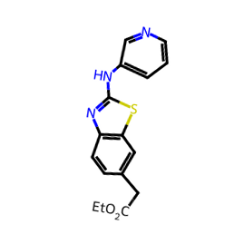 CCOC(=O)Cc1ccc2nc(Nc3cccnc3)sc2c1